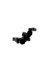 CCOC(CN(Cc1cccc(OC(N)=O)c1OC)C(=O)[CH]Cc1ccc(OC(C)(C)C)cc1)OCC